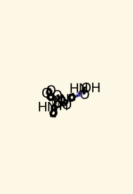 O=C(/C=C/c1ccc(N2CC(=O)N3[C@H](c4ccc5c(c4)OCO5)c4[nH]c5ccccc5c4C[C@H]3C2=O)cc1)NO